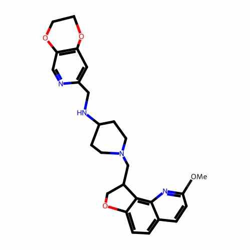 COc1ccc2ccc3c(c2n1)C(CN1CCC(NCc2cc4c(cn2)OCCO4)CC1)CO3